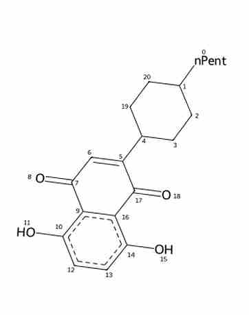 CCCCCC1CCC(C2=CC(=O)c3c(O)ccc(O)c3C2=O)CC1